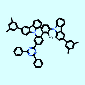 Cc1cc(C)cc(-c2ccc3c(c2)c2ccccc2n3-c2cc(-c3nc(-c4ccccc4)nc(-c4ccccc4)n3)ccc2-c2cccc(-n3c4ccccc4c4cc(-c5cc(C)cc(C)c5)ccc43)c2C(F)(F)F)c1